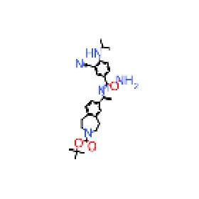 C=C(/N=C(\ON)c1ccc(NC(C)C)c(C#N)c1)c1ccc2c(c1)CCN(C(=O)OC(C)(C)C)CC2